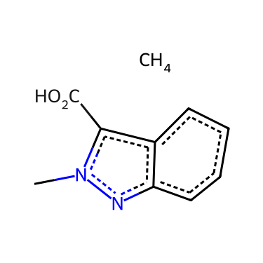 C.Cn1nc2ccccc2c1C(=O)O